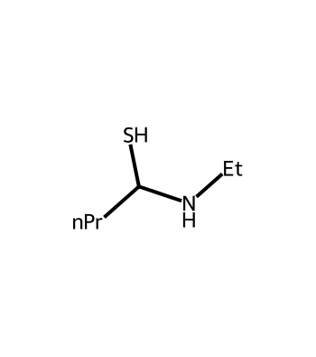 CCCC(S)NCC